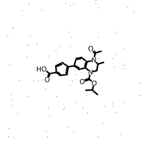 CC(=O)N1c2ccc(-c3ccc(C(=O)O)cc3)cc2N(C(=O)OC(C)C)CC1C